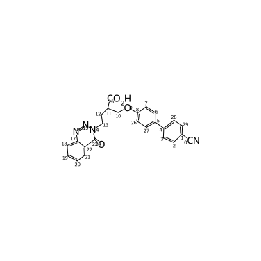 N#Cc1ccc(-c2ccc(OCC(CCn3nnc4ccccc4c3=O)C(=O)O)cc2)cc1